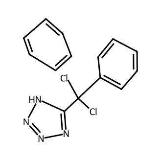 ClC(Cl)(c1ccccc1)c1nnn[nH]1.c1ccccc1